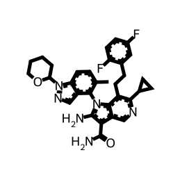 Cc1ccc2c(cnn2C2CCCCO2)c1-n1c(N)c(C(N)=O)c2cnc(C3CC3)c(CCc3cc(F)ccc3F)c21